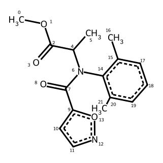 COC(=O)C(C)N(C(=O)c1ccno1)c1c(C)cccc1C